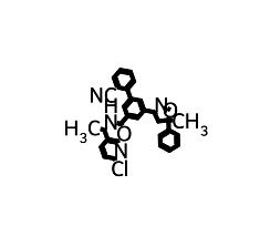 CC(NC(=O)c1cc(C2=NOC(C)(c3ccccc3)C2)cc(-c2ccccc2C#N)c1)c1ccc(Cl)nc1